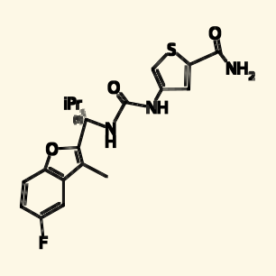 Cc1c([C@@H](NC(=O)Nc2csc(C(N)=O)c2)C(C)C)oc2ccc(F)cc12